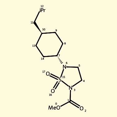 COC(=O)N1CCN([C@H]2CC[C@H](CC(C)C)CC2)S1(=O)=O